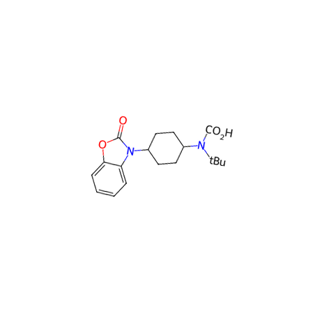 CC(C)(C)N(C(=O)O)C1CCC(n2c(=O)oc3ccccc32)CC1